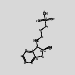 O=S(=O)(O)CCCNC1c2ccccc2C[C@@H]1O